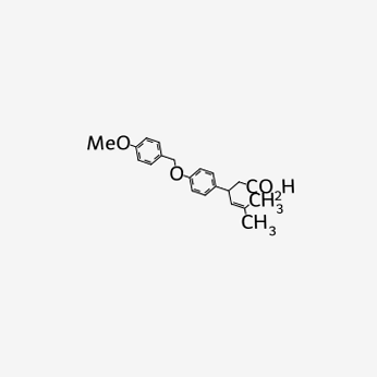 COc1ccc(COc2ccc(C(C=C(C)C)CC(=O)O)cc2)cc1